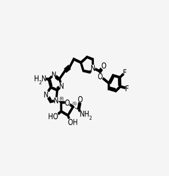 NC(=O)[C@H]1O[C@@H](n2cnc3c(N)nc(C#CCC4CCN(C(=O)Oc5ccc(F)c(F)c5)CC4)nc32)C(O)C1O